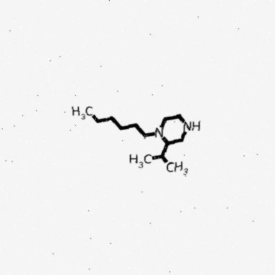 CCCCC[CH]N1CCNCC1C(C)C